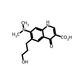 CN(C)c1cc2[nH]cc(C(=O)O)c(=O)c2cc1CCCO